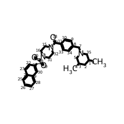 CC1CC(C)CN(Cc2ccc(C(=O)N3CCN(S(=O)(=O)c4ccc5ccccc5c4)CC3)cc2)C1